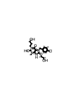 CN1C2=C(C(=O)N(CCCO)C1O)N(Cc1ccc(Cl)cc1)C(OCCO)N2